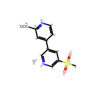 CS(=O)(=O)c1cncc(-c2ccnc(C(=O)[O-])c2)c1.[Li+]